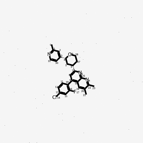 Cc1cc([C@H]2C[C@@H](c3cc(-c4ccc(Cl)cc4F)c4cc(C)c(C)nc4n3)CCO2)ccn1